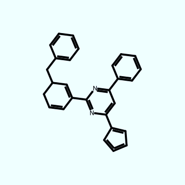 C1=CC=C(c2cc(-c3ccccc3)nc(C3=CC(Cc4ccccc4)CC=C3)n2)C=1